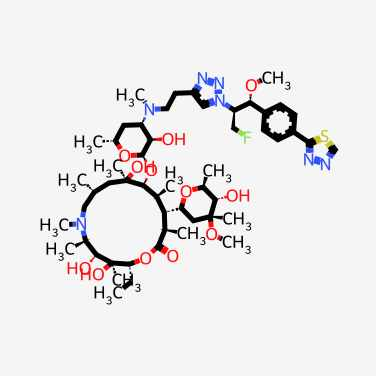 CC[C@H]1OC(=O)[C@H](C)[C@@H](C2C[C@@](C)(OC)[C@@H](O)[C@H](C)O2)[C@H](C)[C@@H](O[C@@H]2O[C@H](C)C[C@H](N(C)CCc3cn([C@H](CF)[C@H](OC)c4ccc(-c5nncs5)cc4)nn3)[C@H]2O)[C@](C)(O)C[C@@H](C)CN(C)[C@H](C)[C@@H](O)[C@]1(C)O